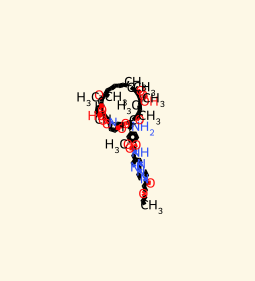 CCCOCCC(=O)N1CCN(c2ncc(CNC(=O)O[C@@H]3CC[C@@H](C[C@@H](N)[C@@H]4CC(=O)[C@H](C)/C=C(\C)[C@@H](O)[C@@H](OC)C(=O)[C@H](C)C[C@H](C)/C=C/C=C/C=C(\C)[C@@H](OC)C[C@@H]5CC[C@@H](C)[C@@](O)(O5)C(=O)C(=O)N5CCCC[C@H]5C(=O)O4)C[C@H]3OC)cn2)CC1